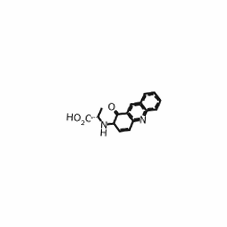 C[C@H](NC1C=Cc2nc3ccccc3cc2C1=O)C(=O)O